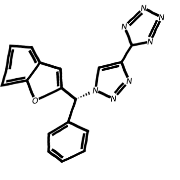 c1ccc([C@H](c2cc3ccccc3o2)n2cc(C3N=NN=N3)nn2)cc1